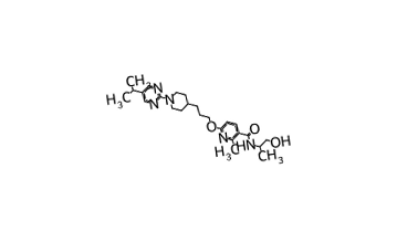 Cc1nc(OCCCC2CCN(c3ncc(C(C)C)cn3)CC2)ccc1C(=O)N[C@H](C)CO